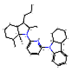 CCCC1C2CCCC(C)[C@H]2N(c2cccc(N3c4ccccc4C4CCCCC43)n2)C1C